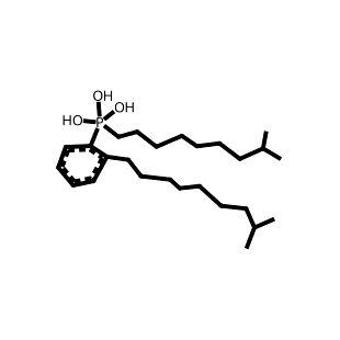 CC(C)CCCCCCCc1ccccc1P(O)(O)(O)CCCCCCCC(C)C